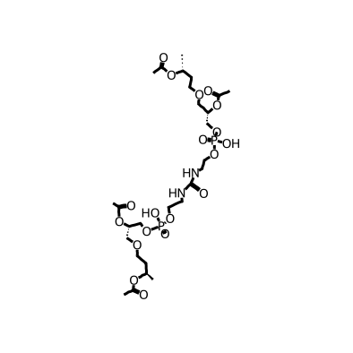 CC(=O)O[C@@H](COCC[C@@H](C)OC(C)=O)COP(=O)(O)OCCNC(=O)NCCOP(=O)(O)OC[C@H](COCC[C@@H](C)OC(C)=O)OC(C)=O